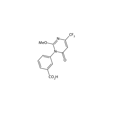 COc1nc(C(F)(F)F)cc(=O)n1-c1cccc(C(=O)O)c1